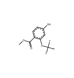 COC(=O)c1ccc(O)cc1OC(F)(F)F